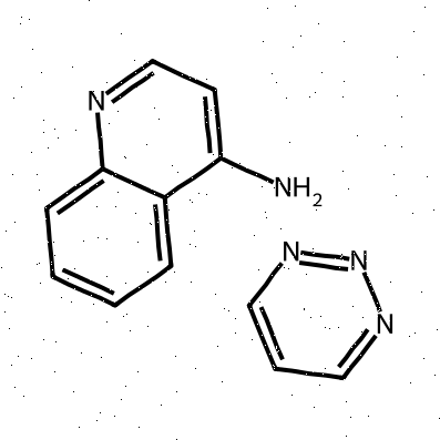 Nc1ccnc2ccccc12.c1cnnnc1